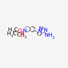 CC(C)(C)OC(=O)N1CCc2ccc(-c3ccc4c(N)ncnn34)cc2C1